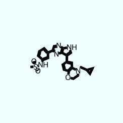 CS(=O)(=O)Nc1cccc(-c2cnc3[nH]cc(-c4ccc5c(c4)N(CC4CC4)CCO5)c3n2)c1